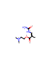 CC(=CNC(N)=O)C(=O)OCCN(C)C